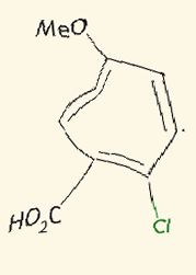 COc1c[c]c(Cl)c(C(=O)O)c1